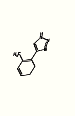 CC1=C(c2c[nH]nn2)CCC=C1